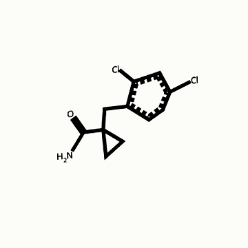 NC(=O)C1(Cc2ccc(Cl)cc2Cl)CC1